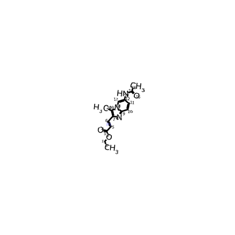 CCOC(=O)/C=C/c1nc2ccc(NC(C)=O)cn2c1C